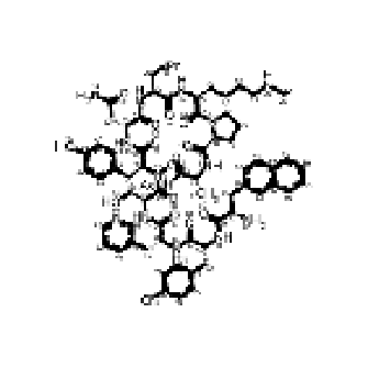 CC(=O)NC(=O)[C@@H](C)NC(=O)[C@@H]1CCCN1C(=O)[C@H](CCCCNC(C)C)NC(=O)[C@H](CC(C)C)NC(=O)[C@@H](CC(N)=O)NC(=O)[C@H](Cc1ccc(O)cc1)N(C)C(=O)[C@H](CO)NC(=O)[C@@H](Cc1cccnc1)NC(=O)[C@@H](Cc1ccc(Cl)cc1)NC(=O)[C@H](N)Cc1ccc2ccccc2c1